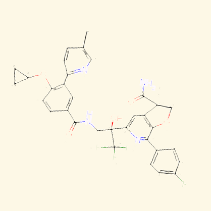 Cc1ccc(-c2cc(C(=O)NC[C@](O)(c3cc4c(c(-c5ccc(F)cc5)n3)OC[C@]4(C)C(N)=O)C(F)(F)F)ccc2OC2CC2)nc1